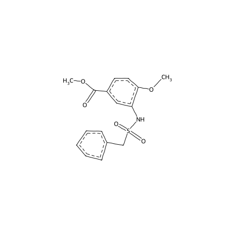 COC(=O)c1ccc(OC)c(NS(=O)(=O)Cc2ccccc2)c1